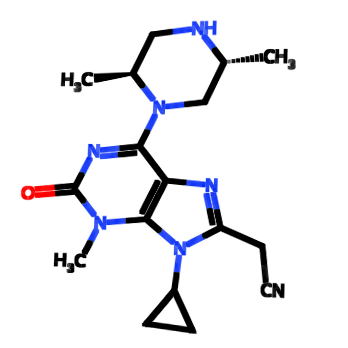 C[C@@H]1CN(c2nc(=O)n(C)c3c2nc(CC#N)n3C2CC2)[C@@H](C)CN1